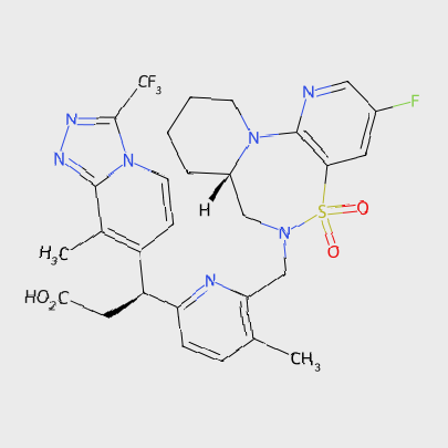 Cc1ccc([C@@H](CC(=O)O)c2ccn3c(C(F)(F)F)nnc3c2C)nc1CN1C[C@@H]2CCCCN2c2ncc(F)cc2S1(=O)=O